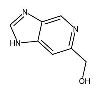 OCc1cc2[nH]cnc2cn1